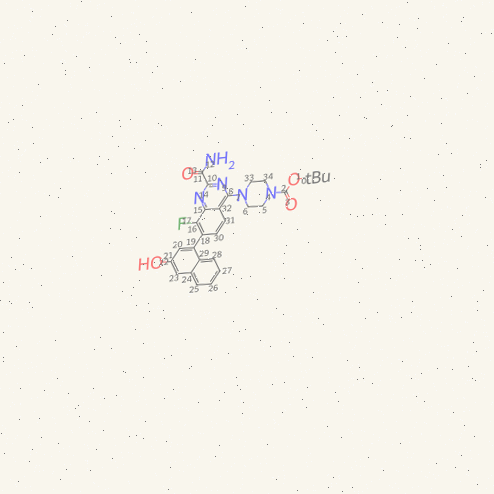 CC(C)(C)OC(=O)N1CCN(c2nc(C(N)=O)nc3c(F)c(-c4cc(O)cc5ccccc45)ccc23)CC1